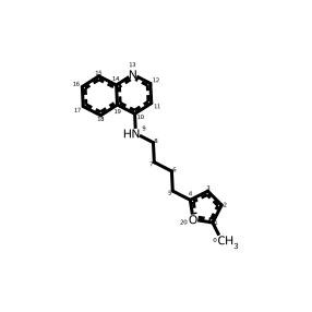 Cc1ccc(CCCCNc2ccnc3ccccc23)o1